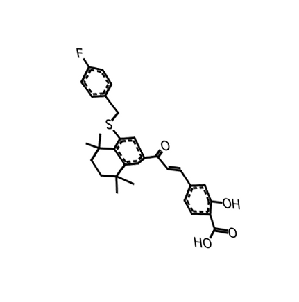 CC1(C)CCC(C)(C)c2c(SCc3ccc(F)cc3)cc(C(=O)C=Cc3ccc(C(=O)O)c(O)c3)cc21